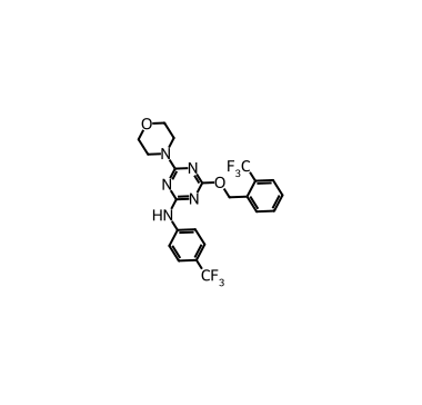 FC(F)(F)c1ccc(Nc2nc(OCc3ccccc3C(F)(F)F)nc(N3CCOCC3)n2)cc1